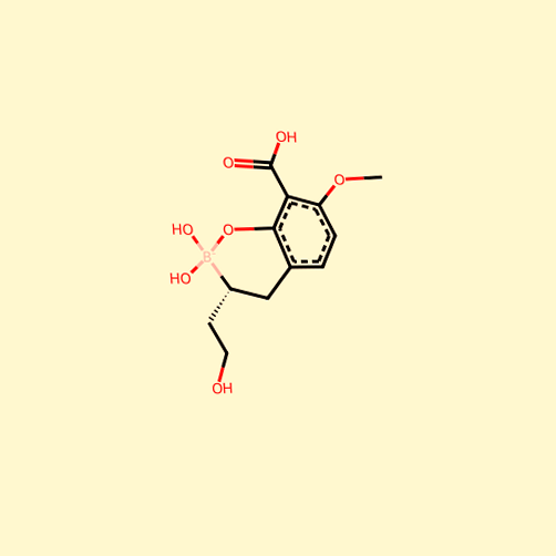 COc1ccc2c(c1C(=O)O)O[B-](O)(O)[C@@H](CCO)C2